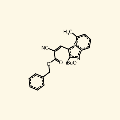 Cc1cccc2nc(OCC(C)C)c(/C=C(/C#N)C(=O)OCc3ccccc3)n12